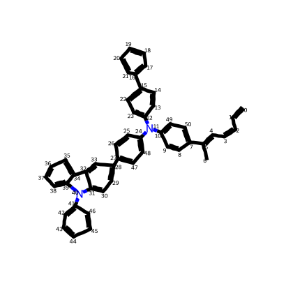 C=C/C=C\C=C(/C)c1ccc(N(c2ccc(-c3ccccc3)cc2)c2ccc(-c3ccc4c(c3)c3ccccc3n4-c3ccccc3)cc2)cc1